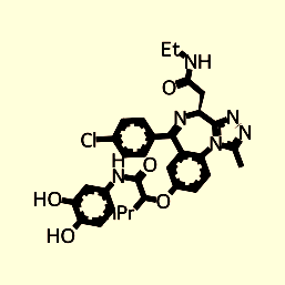 CCCC(Oc1ccc2c(c1)C(c1ccc(Cl)cc1)=N[C@@H](CC(=O)NCC)c1nnc(C)n1-2)C(=O)Nc1ccc(O)c(O)c1